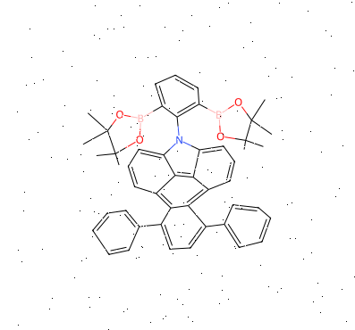 CC1(C)OB(c2cccc(B3OC(C)(C)C(C)(C)O3)c2-n2c3cccc4c5c(-c6ccccc6)ccc(-c6ccccc6)c5c5cccc2c5c43)OC1(C)C